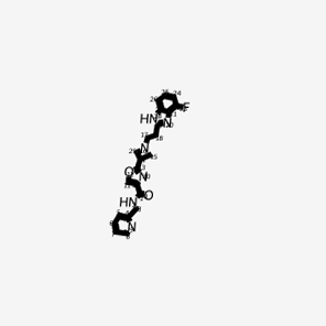 O=C(NCc1ccccn1)c1coc(C2CN(CCc3nc4c(F)cccc4[nH]3)C2)n1